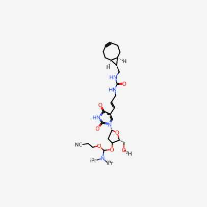 [2H]OC[C@H]1O[C@@H](n2cc(/C=C/CNC(=O)NC[C@@H]3[C@@H]4CCC#CCC[C@@H]43)c(=O)[nH]c2=O)CC1OC(OCCC#N)N(C(C)C)C(C)C